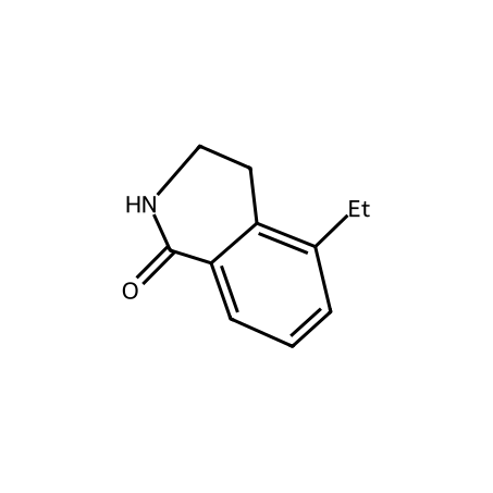 CCc1cccc2c1CCNC2=O